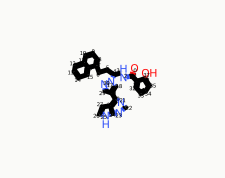 O=C(NCC(CCc1cccc2ccccc12)n1cc(-c2ncnc3[nH]ccc23)cn1)c1ccccc1O